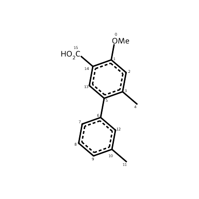 COc1cc(C)c(-c2cccc(C)c2)cc1C(=O)O